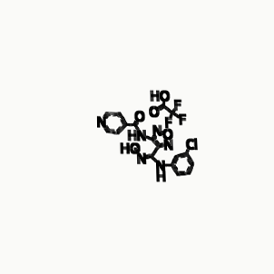 O=C(Nc1nonc1/C(=N\O)Nc1cccc(Cl)c1)c1ccncc1.O=C(O)C(F)(F)F